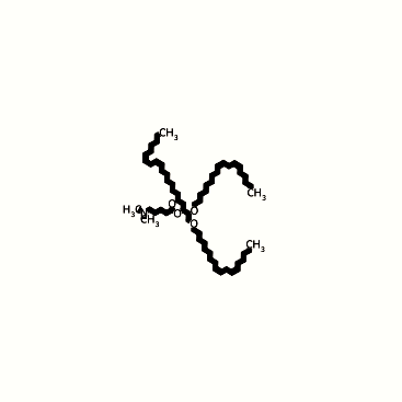 CCCCC/C=C\C/C=C\CCCCCCCCOCC(OCCCCCCCC/C=C\C/C=C\CCCCC)C(CCCCCCCC/C=C\C/C=C\CCCCC)OC(=O)CCCCN(C)C